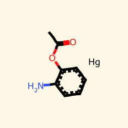 CC(=O)Oc1ccccc1N.[Hg]